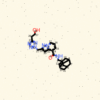 O=C(NCC12CC3CC(CC(C3)C1)C2)c1cccn2nc(Cn3nnc(CCO)n3)cc12